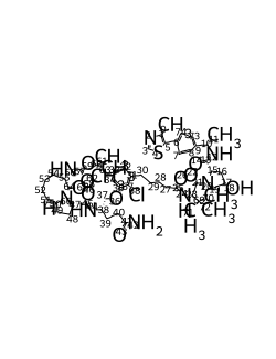 Cc1ncsc1-c1ccc([C@H](C)NC(=O)[C@@H]2C[C@@H](O)CN2C(=O)[C@@H](NC(=O)CCCCc2cccc(OC[C@H](CCC(N)=O)NC(=O)[C@@H]3CC[C@@H]4CCCC[C@H](NC(=O)OC(C)(C)C)C(=O)N43)c2Cl)C(C)(C)C)cc1